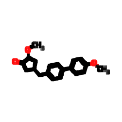 COc1ccc(-c2ccc(C[C@H]3CC(=O)[C@H](OC)C3)cc2)cc1